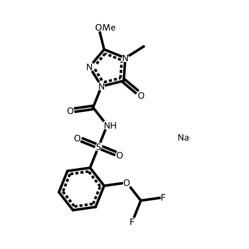 COc1nn(C(=O)NS(=O)(=O)c2ccccc2OC(F)F)c(=O)n1C.[Na]